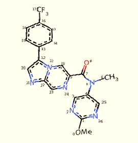 COc1ncc(N(C)C(=O)c2cn3c(-c4ccc(C(F)(F)F)cc4)cnc3cn2)cn1